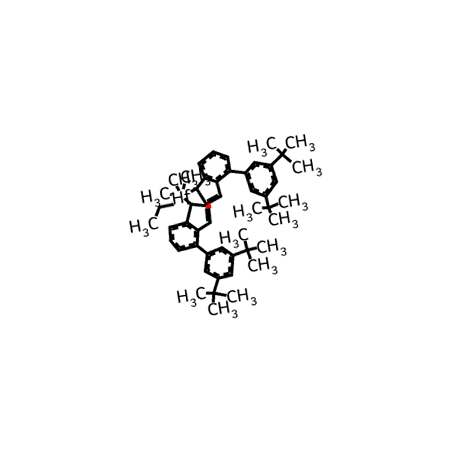 CC[CH]=[Hf]([CH3])([CH3])([CH3])([CH]1C=Cc2c(-c3cc(C(C)(C)C)cc(C(C)(C)C)c3)cccc21)[CH]1C=Cc2c(-c3cc(C(C)(C)C)cc(C(C)(C)C)c3)cccc21